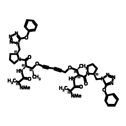 CN[C@@H](C)C(=O)N[C@H](C(=O)N1CCC[C@H]1Cn1nnnc1Oc1ccccc1)[C@@H](C)OC#CC#CCO[C@H](C)[C@H](NC(=O)[C@H](C)NC)C(=O)N1CCC[C@H]1Cn1nnnc1Oc1ccccc1